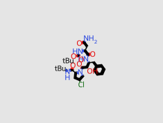 CC(C)(C)NC(=O)[C@@H]1C[C@H](Cl)CN1C(=O)[C@@H](O)[C@H](Cc1ccccc1)NC(=O)[C@H](CC(N)=O)NC(=O)OC(C)(C)C